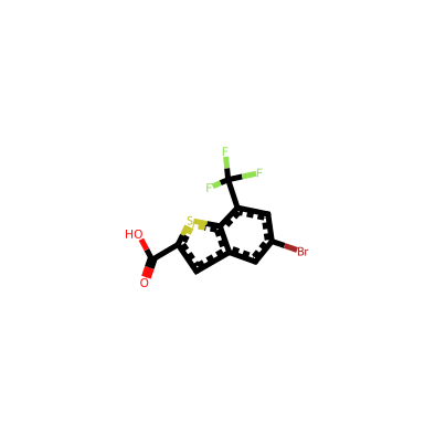 O=C(O)c1cc2cc(Br)cc(C(F)(F)F)c2s1